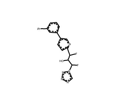 CC(C)c1cccc(-c2ccc(C(F)C(O)C(F)n3cnnn3)nc2)c1